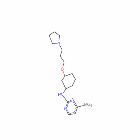 CNc1ccnc(NC2CCCC(OCCCN3CCCC3)C2)n1